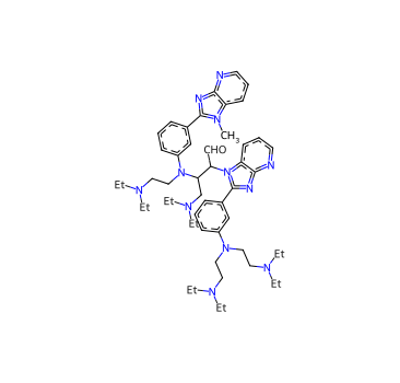 CCN(CC)CCN(CCN(CC)CC)c1cccc(-c2nc3ncccc3n2C(C=O)C(CN(CC)CC)N(CCN(CC)CC)c2cccc(-c3nc4ncccc4n3C)c2)c1